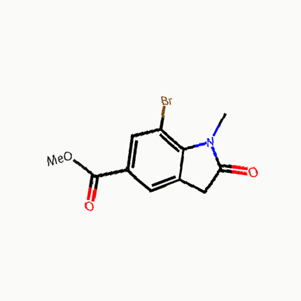 COC(=O)c1cc(Br)c2c(c1)CC(=O)N2C